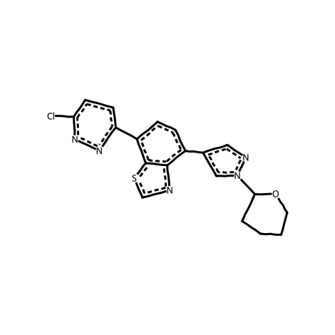 Clc1ccc(-c2ccc(-c3cnn(C4CCCCO4)c3)c3ncsc23)nn1